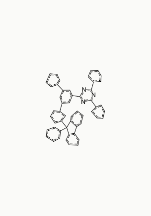 c1ccc(-c2cc(-c3cccc(C4(c5ccccc5)c5ccccc5-c5ccccc54)c3)cc(-c3nc(-c4ccccc4)nc(-c4ccccc4)n3)c2)cc1